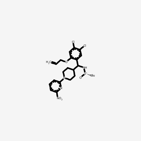 C=CCOc1cc(Cl)c(Cl)cc1C(N[S@@+]([O-])C(C)(C)C)C1CCN(c2cccc([N+](=O)[O-])n2)CC1